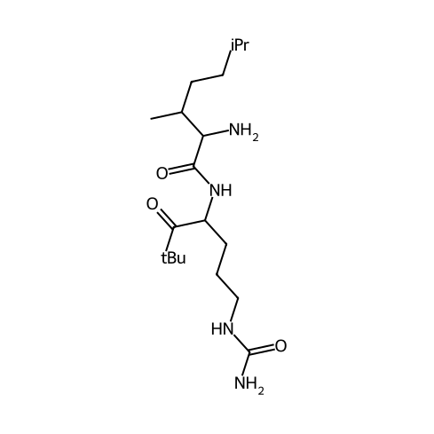 CC(C)CCC(C)C(N)C(=O)NC(CCCNC(N)=O)C(=O)C(C)(C)C